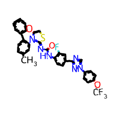 Cc1ccc(-c2ccccc2)c(N2C(=O)CSC2=NC(=O)Nc2ccc(-c3ncn(-c4ccc(OC(F)(F)F)cc4)n3)cc2F)c1